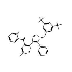 Cc1cc(C(=O)c2ccccc2Cl)c(-c2nnn(Cc3cc(C(F)(F)F)cc(C(F)(F)F)c3)c2-c2ccncc2)nn1